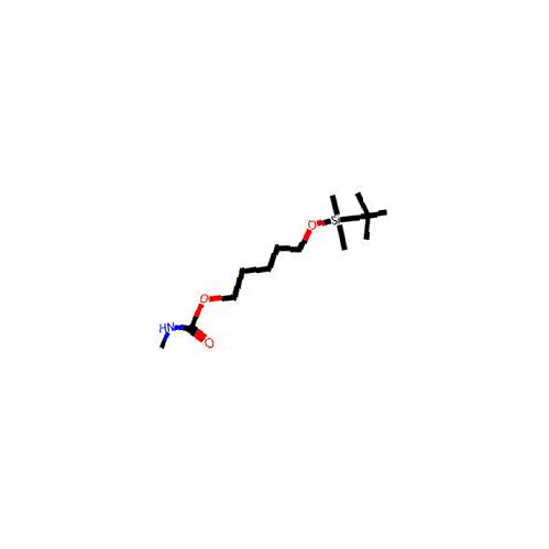 CNC(=O)OCCCCCO[Si](C)(C)C(C)(C)C